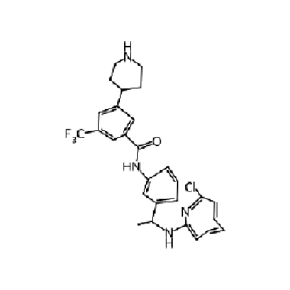 C[C@H](NC1=C/C=C/C=C/C(Cl)=N\1)c1cccc(NC(=O)c2cc(C3CCNCC3)cc(C(F)(F)F)c2)c1